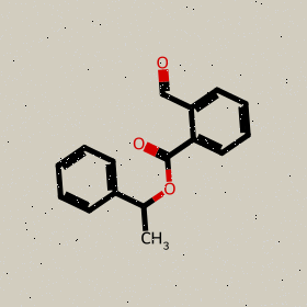 CC(OC(=O)c1ccccc1C=O)c1ccccc1